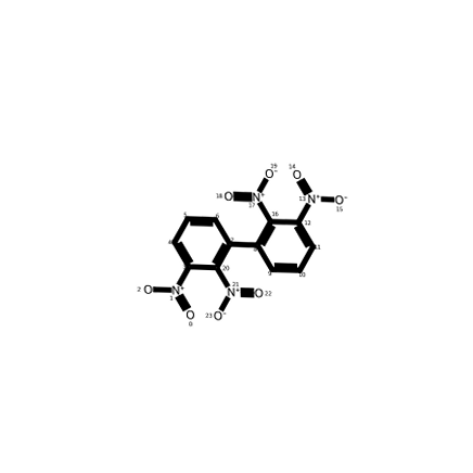 O=[N+]([O-])c1cccc(-c2cccc([N+](=O)[O-])c2[N+](=O)[O-])c1[N+](=O)[O-]